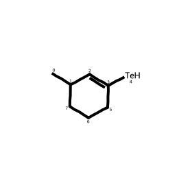 CC1C=C([TeH])CCC1